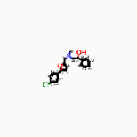 CN(Cc1ccc(-c2ccc(Cl)cc2)o1)CC(O)c1ccccc1